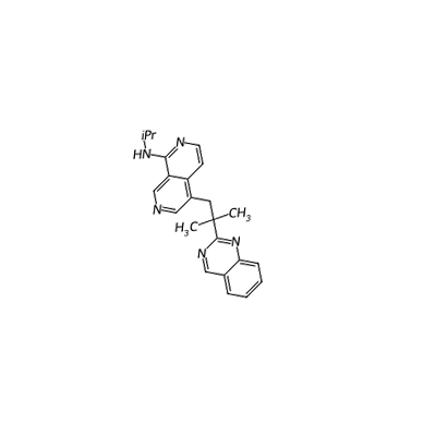 CC(C)Nc1nccc2c(CC(C)(C)c3ncc4ccccc4n3)cncc12